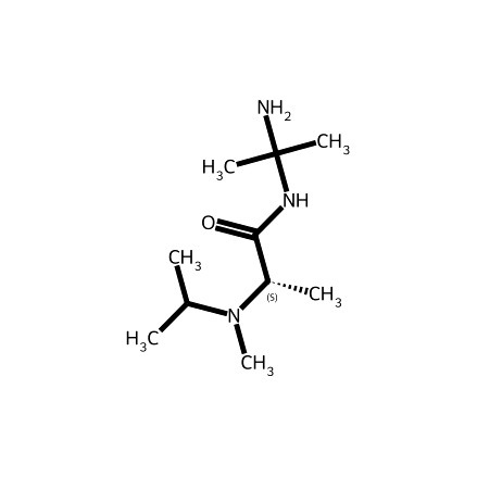 CC(C)N(C)[C@@H](C)C(=O)NC(C)(C)N